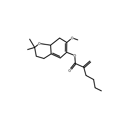 C=C(CCCC)C(=O)OC1=C(OC)CC2OC(C)(C)CCC2=C1